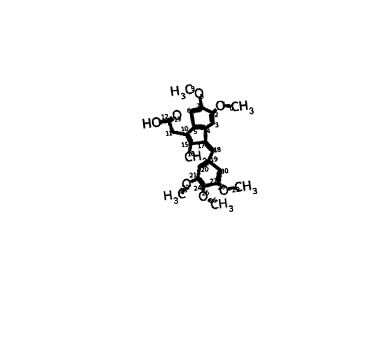 COc1cc2c(cc1OC)C(CC(=O)O)=C(C)C2=Cc1cc(OC)c(OC)c(OC)c1